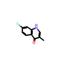 Cc1c[nH]c2cc(F)ccc2c1=O